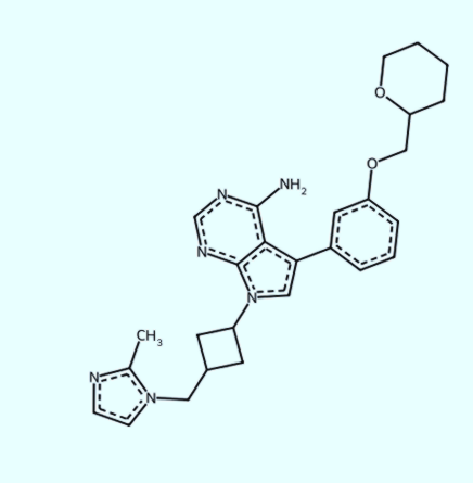 Cc1nccn1CC1CC(n2cc(-c3cccc(OCC4CCCCO4)c3)c3c(N)ncnc32)C1